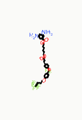 Nc1cc(N)cc(C(=O)OCCCCCCOC(=O)C=Cc2ccc(OC(F)(F)c3ccc(OCCCC(F)(F)C(F)(F)F)cc3)cc2)c1